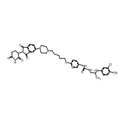 CC(CNC(=O)Nc1ccc(OCCCCCN2CCN(c3ccc4c(c3)C(=O)N(C3CCC(=O)NC3=O)C4=O)CC2)nc1)Nc1ccc(C#N)c(Cl)c1